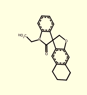 O=C(O)CN1C(=O)C2(COc3cc4c(cc32)CCCC4)c2ccccc21